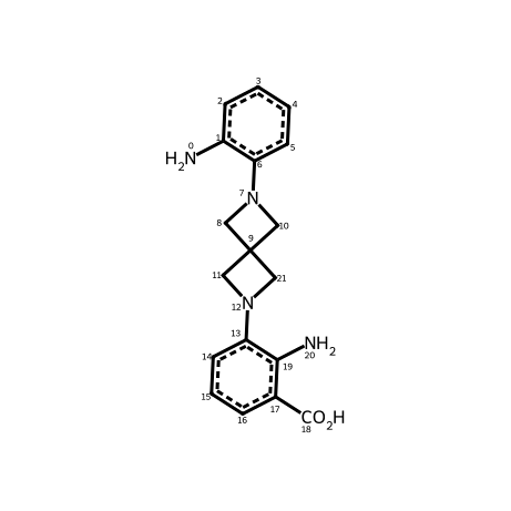 Nc1ccccc1N1CC2(C1)CN(c1cccc(C(=O)O)c1N)C2